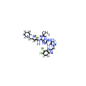 Cc1cn2c(Nc3cnn(Cc4nc5ccc(F)c(F)c5[nH]4)c3)cnc2c(Nc2cc(CN3CCCCC3)ns2)n1